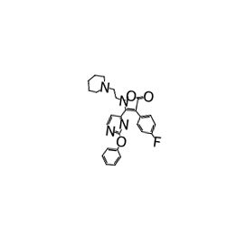 O=c1on(CCN2CCCCC2)c(-c2ccnc(Oc3ccccc3)n2)c1-c1ccc(F)cc1